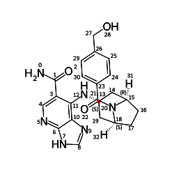 NC(=O)c1cnc2[nH]cnc2c1N[C@@H]1C[C@H]2CC[C@@H](C1)N2C(=O)c1ccc(CO)cc1